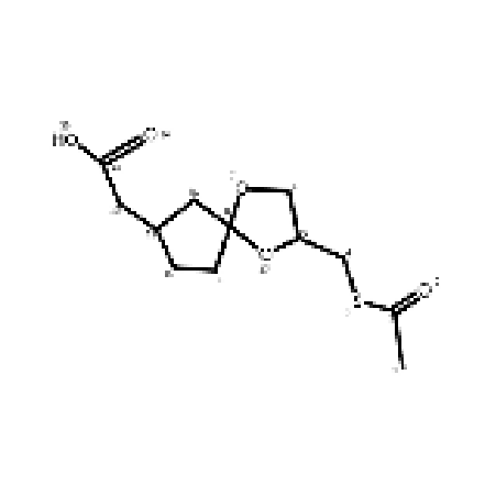 CC(=O)SCC1COC2(CCC(CC(=O)O)C2)O1